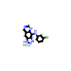 Brc1cccc(Nc2c3ncncc3cc3[nH]nnc23)c1.Cl